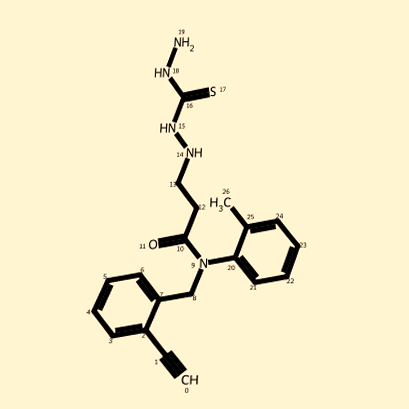 C#Cc1ccccc1CN(C(=O)CCNNC(=S)NN)c1ccccc1C